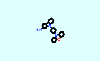 Nc1ccc2c(c1)N(c1ccc(N3c4ccccc4Oc4ccccc43)cc1)C1C=CC=CC21